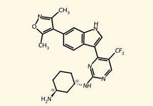 Cc1noc(C)c1-c1ccc2c(-c3nc(N[C@H]4CCC[C@H](N)C4)ncc3C(F)(F)F)c[nH]c2c1